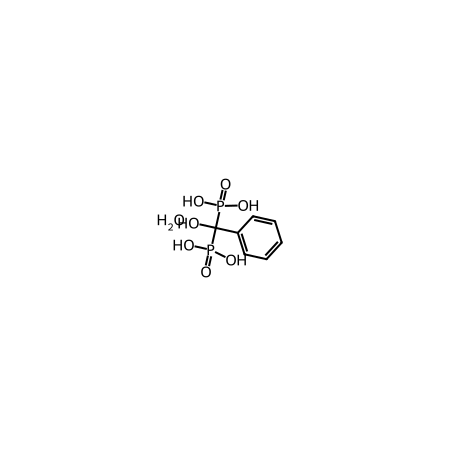 O.O=P(O)(O)C(O)(c1ccccc1)P(=O)(O)O